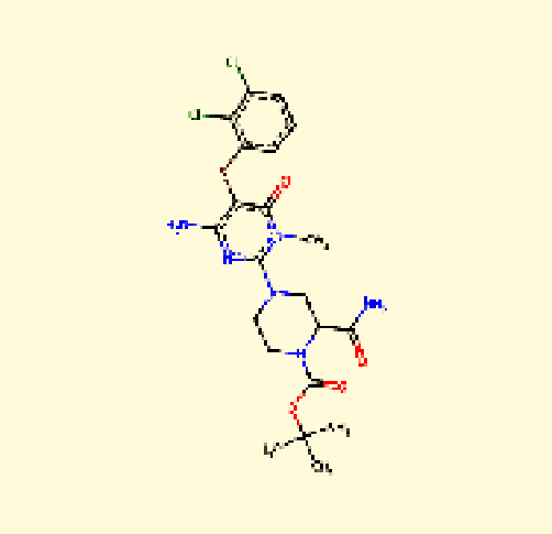 Cn1c(N2CCN(C(=O)OC(C)(C)C)C(C(N)=O)C2)nc(N)c(Sc2cccc(Cl)c2Cl)c1=O